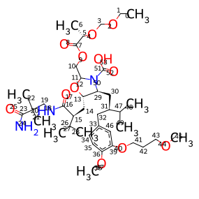 CCOCO[C@@H](C)C(=O)OCC1O[C@@H](C[C@H](C(=O)NCC(C)(C)C(N)=O)C(C)C)[C@H](C[C@H](Cc2ccc(OC)c(OCCCOC)c2)C(C)C)N1C(=O)O